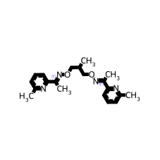 C/C(=N\OCC(C)CO/N=C(\C)c1cccc(C)n1)c1cccc(C)n1